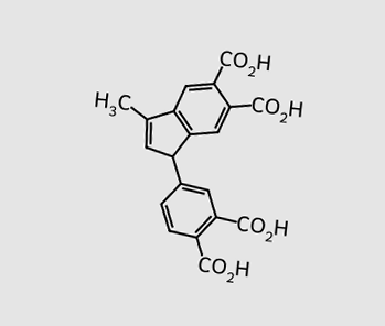 CC1=CC(c2ccc(C(=O)O)c(C(=O)O)c2)c2cc(C(=O)O)c(C(=O)O)cc21